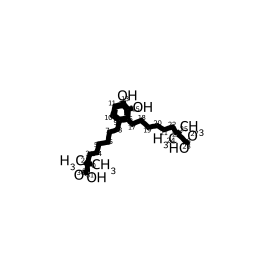 CC(C)(CCCCCCc1ccc(O)c(O)c1CCCCCCC(C)(C)C(=O)O)C(=O)O